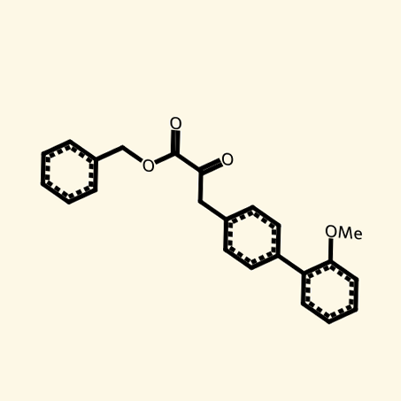 COc1ccccc1-c1ccc(CC(=O)C(=O)OCc2ccccc2)cc1